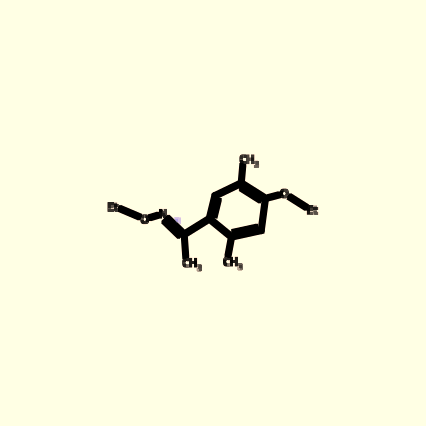 CCO/N=C(\C)c1cc(C)c(OCC)cc1C